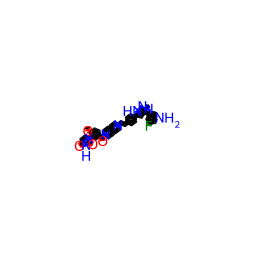 COc1ccc(C(=O)N2CCC3(CCN(CCc4ccc(-c5cc6c(-c7cc(F)cc(N)c7C)ncnc6[nH]5)cc4)CC3)CC2)cc1-n1ccc(=O)[nH]c1=O